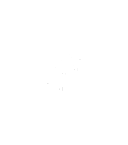 [O]C(OC(F)C(F)Cl)C(F)(Cl)Cl